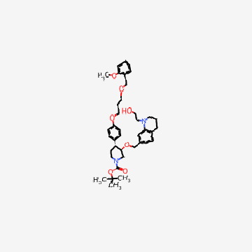 COc1ccccc1COCCCOc1ccc([C@H]2CCN(C(=O)OC(C)(C)C)C[C@@H]2OCc2ccc3c(c2)N(CCO)CCC3)cc1